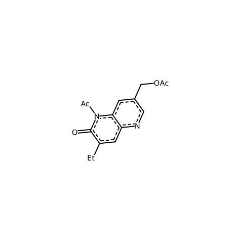 CCc1cc2ncc(COC(C)=O)cc2n(C(C)=O)c1=O